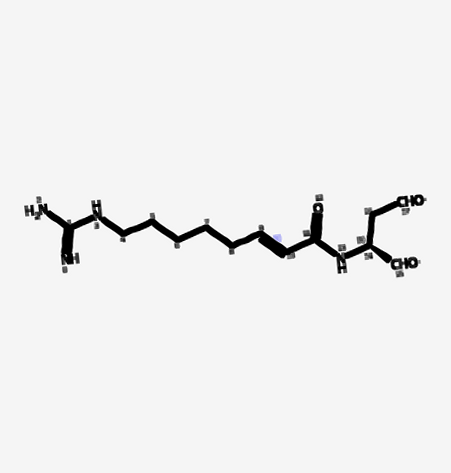 N=C(N)NCCCCC/C=C/C(=O)N[C@H]([C]=O)C[C]=O